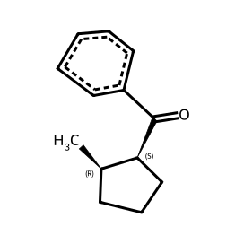 C[C@@H]1CCC[C@@H]1C(=O)c1ccccc1